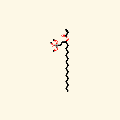 C=CC(=O)OC(CCCCCCCCCCCCCCC)CC[Si](OC)(OC)OC